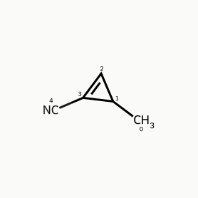 CC1C=C1C#N